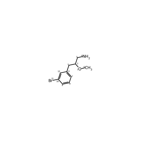 COC(CN)Cc1cccc(Br)c1